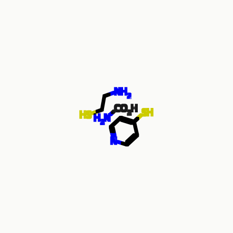 NC(=O)O.NCCS.Sc1ccncc1